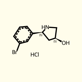 Cl.O[C@@H]1CN[C@H](c2cccc(Br)c2)C1